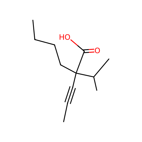 CC#CC(CCCC)(C(=O)O)C(C)C